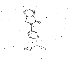 CC(C(=O)O)c1ccc(N2Cc3ccsc3C2=O)cc1